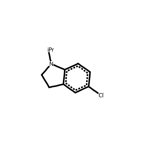 CC(C)N1CCc2cc(Cl)ccc21